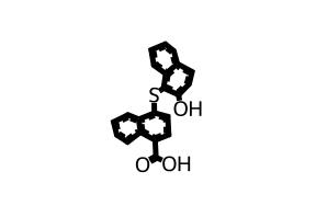 O=C(O)c1ccc(Sc2c(O)ccc3ccccc23)c2ccccc12